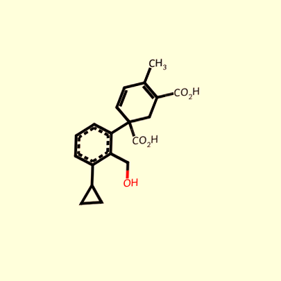 CC1=C(C(=O)O)CC(C(=O)O)(c2cccc(C3CC3)c2CO)C=C1